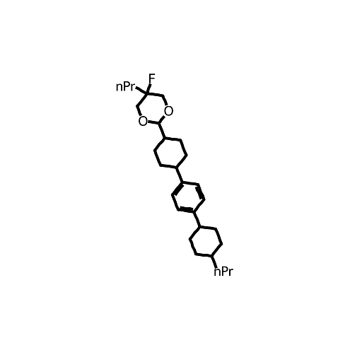 CCCC1CCC(c2ccc(C3CCC(C4OCC(F)(CCC)CO4)CC3)cc2)CC1